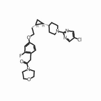 O=C(Cc1ccc(OCC[C@@H]2C[C@@H]2C2CCN(c3ncc(Cl)cn3)CC2)cc1F)N1CCOCC1